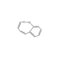 C1=CCOc2ccccc2C=C1